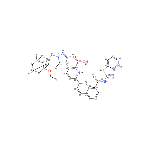 CCOC12CC3(C)CC(C)(CC(Cn4ncc(-c5ccc(-c6ccc7cccc(C(=O)Nc8nc9ncccc9s8)c7c6)nc5C(=O)O)c4C)(C3)C1)C2